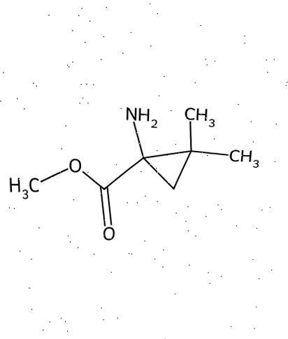 COC(=O)C1(N)CC1(C)C